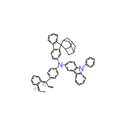 C=C/C(c1ccc(N(c2ccc3c(c2)C2(c4ccccc4-3)C3CC4CC(C3)CC2C4)c2ccc3c(c2)c2ccccc2n3-c2ccccc2)cc1)=c1/cccc/c1=C/C